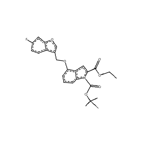 CCOC(=O)c1cc2c(OCc3coc4cc(F)ccc34)cccc2n1C(=O)OC(C)(C)C